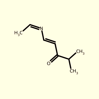 C/C=N\C=C\C(=O)C(C)C